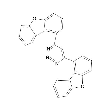 c1ccc2c(c1)oc1cccc(-c3cc(-c4cccc5oc6ccccc6c45)nnn3)c12